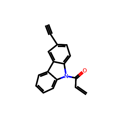 C#Cc1ccc2c(c1)c1ccccc1n2C(=O)C=C